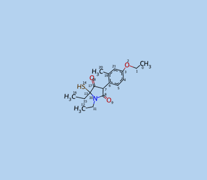 CCOc1ccc(C2C(=O)N(CC)C(S)(CC)C2=O)c(C)c1